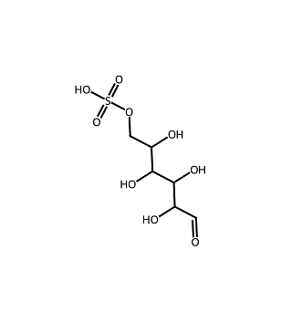 O=CC(O)C(O)C(O)C(O)COS(=O)(=O)O